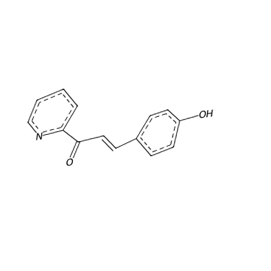 O=C(C=Cc1ccc(O)cc1)c1ccccn1